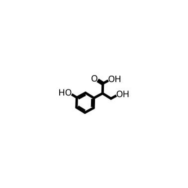 O=C(O)C(CO)c1cccc(O)c1